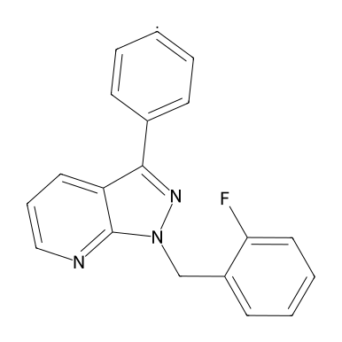 Fc1ccccc1Cn1nc(-c2cc[c]cc2)c2cccnc21